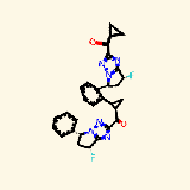 O=C(c1nc2n(n1)[C@H](c1ccccc1C1CC1C(=O)c1nc3n(n1)[C@@H](c1ccccc1)C[C@H]3F)C[C@@H]2F)C1CC1